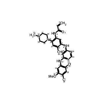 C=CC(=O)Nc1cc(Nc2cc(Nc3cc(OC)c(Cl)cc3Cl)ncn2)c(C=O)cc1N1CCN(C)CC1